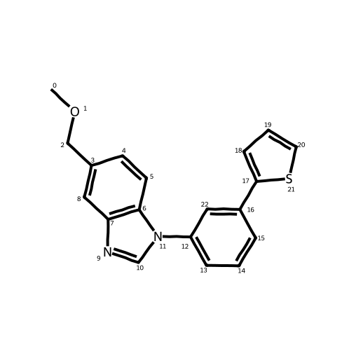 COCc1ccc2c(c1)ncn2-c1cccc(-c2cccs2)c1